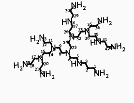 NCCCNCCN(CCN(CCN)CCN(CCN)CCN)CCN(CCNCCN)CCN(CCN)CCNCCN